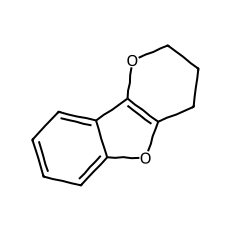 c1ccc2c3c(oc2c1)CCCO3